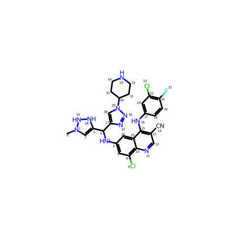 CN1C=C(C(Nc2cc(Cl)c3ncc(C#N)c(Nc4ccc(F)c(Cl)c4)c3c2)c2cn(C3CCNCC3)nn2)NN1